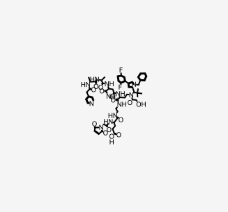 CC(NC(=O)Cc1ccncc1)C(=O)NC(C)C(=O)NC(CC(=O)NC(CCN(C(=O)CO)C(c1cc(-c2cc(F)ccc2F)cn1Cc1ccccc1)C(C)(C)C)C(=O)NCCNC(=O)C(CCC(=O)O)NC(=O)CN1C(=O)C=CC1=O)C(N)=O